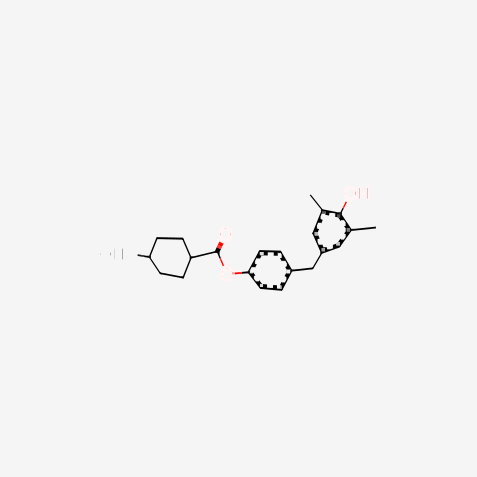 Cc1cc(Cc2ccc(OC(=O)C3CCC(C=O)CC3)cc2)cc(C)c1O